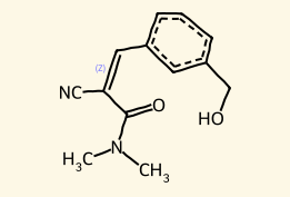 CN(C)C(=O)/C(C#N)=C\c1cccc(CO)c1